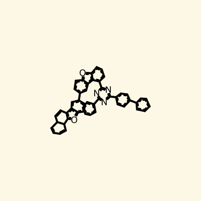 C1=CC2C=Cc3c(oc4ccc(-c5ccc6oc7cccc(-c8nc(-c9ccccc9)nc(-c9ccc(-c%10ccccc%10)cc9)n8)c7c6c5)cc34)C2C=C1